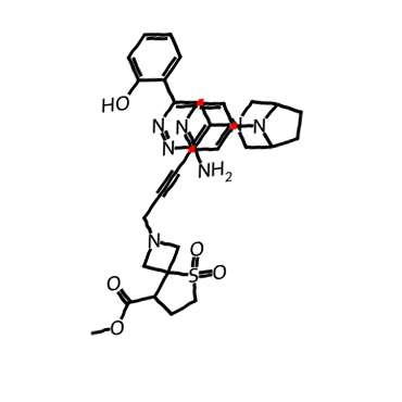 COC(=O)C1CCS(=O)(=O)C12CN(CC#Cc1cc(N3C4CCC3CN(c3cc(-c5ccccc5O)nnc3N)C4)ccn1)C2